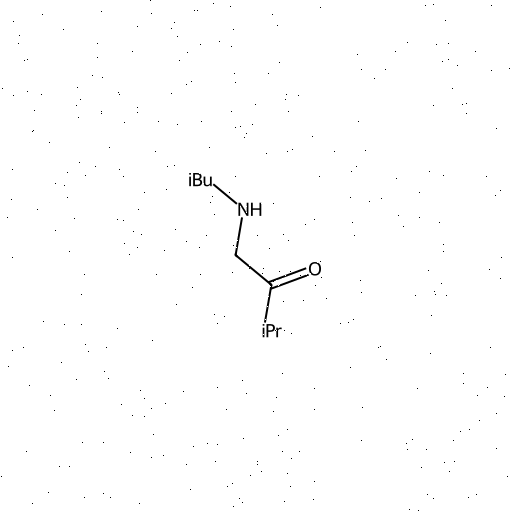 CCC(C)NCC(=O)C(C)C